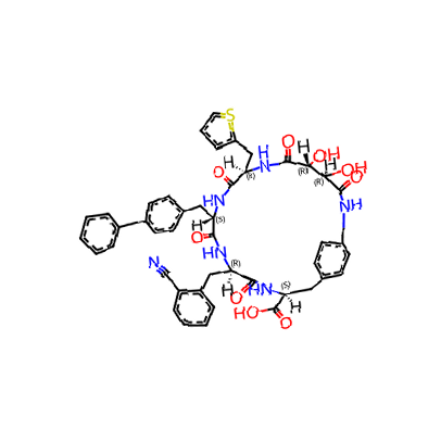 N#Cc1ccccc1C[C@H]1NC(=O)[C@H](Cc2ccc(-c3ccccc3)cc2)NC(=O)[C@@H](Cc2cccs2)NC(=O)[C@H](O)[C@@H](O)C(=O)Nc2ccc(cc2)C[C@@H](C(=O)O)NC1=O